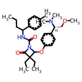 CCCC(NC(=O)N1C(=O)C(CC)(CC)C1Oc1ccc([C@@H](COC)N(C)C)cc1)c1ccc(C)cc1